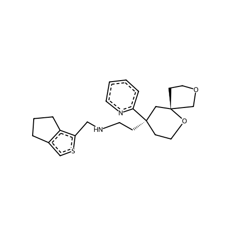 c1ccc([C@]2(CCNCc3scc4c3CCC4)CCO[C@]3(CCOC3)C2)nc1